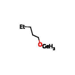 CCCCC[O][GeH3]